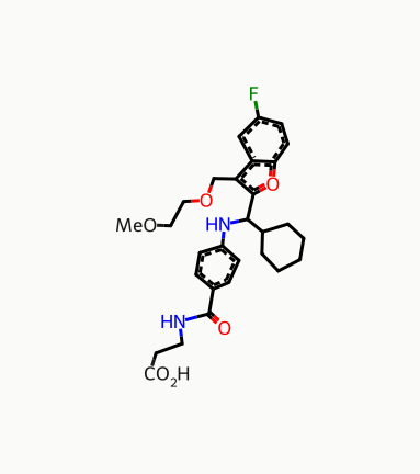 COCCOCc1c(C(Nc2ccc(C(=O)NCCC(=O)O)cc2)C2CCCCC2)oc2ccc(F)cc12